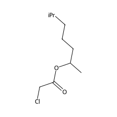 CC(C)CCCC(C)OC(=O)CCl